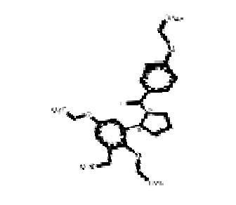 COCOc1ccc(C(=O)[C@H]2CCC[C@H]2c2cc(OCOC)cc(COC)c2OCOC)cc1